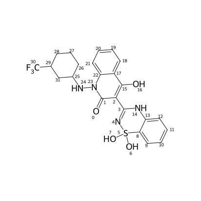 O=c1c(C2=NS(O)(O)c3ccccc3N2)c(O)c2ccccc2n1NC1CCCC(C(F)(F)F)C1